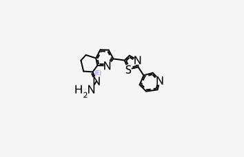 N/N=C1\CCCc2ccc(-c3cnc(-c4cccnc4)s3)nc21